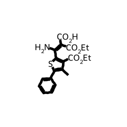 CCOC(=O)/C(C(=O)O)=C(/N)c1sc(-c2ccccc2)c(C)c1C(=O)OCC